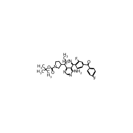 CCC(c1ncnc(N)c1/C(=N\C)c1ccc(C(=O)c2ccc(F)cc2)cc1F)C1CCN(C(=O)OC(C)(C)C)C1